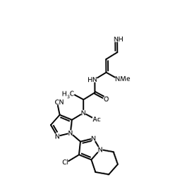 CN/C(=C\C=N)NC(=O)C(C)N(C(C)=O)c1c(C#N)cnn1-c1nn2c(c1Cl)CCCC2